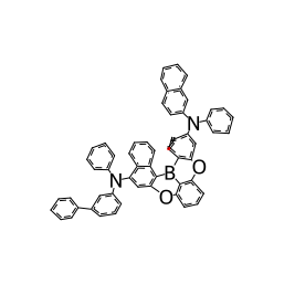 c1ccc(-c2cccc(N(c3ccccc3)c3cc4c(c5ccccc35)B3c5c(cccc5Oc5cc(N(c6ccccc6)c6ccc7ccccc7c6)c6ccccc6c53)O4)c2)cc1